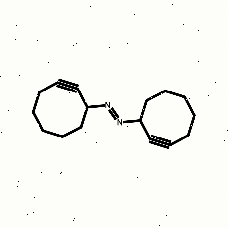 C1#CC(N=NC2C#CCCCCC2)CCCCC1